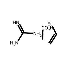 C=CCC.CC(=O)O.N=C(N)N